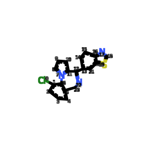 Clc1cccc2c1-n1cccc1C(c1ccc3ncsc3c1)=NC2